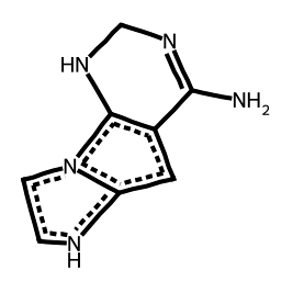 NC1=NCNc2c1cc1[nH]ccn21